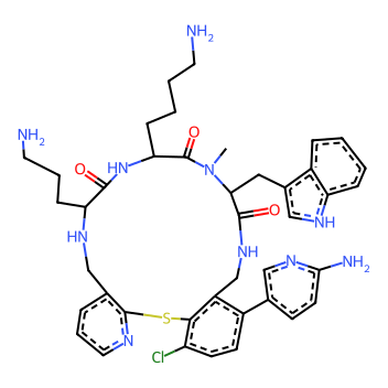 CN1C(=O)C(CCCCN)NC(=O)C(CCCN)NCc2cccnc2Sc2c(Cl)ccc(-c3ccc(N)nc3)c2CNC(=O)C1Cc1c[nH]c2ccccc12